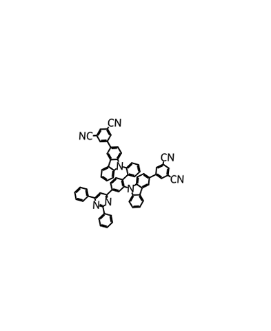 N#Cc1cc(C#N)cc(-c2ccc3c(c2)c2ccccc2n3-c2ccccc2-c2ccc(-c3cc(-c4ccccc4)nc(-c4ccccc4)n3)cc2-n2c3ccccc3c3cc(-c4cc(C#N)cc(C#N)c4)ccc32)c1